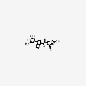 Cc1cn2cc(NC(=O)c3ccc(N4C[C@@H](C)N[C@H](C)C4)c4nccnc34)cc(C#N)c2n1